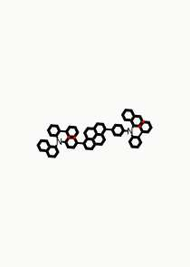 c1ccc(-c2ccccc2N(c2ccc(-c3ccc4ccc5c(-c6ccc(N(c7ccccc7-c7ccccc7)c7cccc8ccccc78)cc6)ccc6ccc3c4c65)cc2)c2cccc3ccccc23)cc1